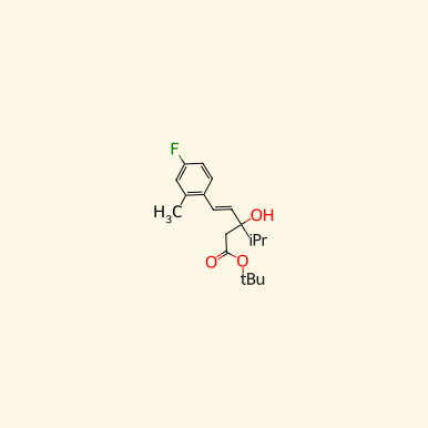 Cc1cc(F)ccc1C=CC(O)(CC(=O)OC(C)(C)C)C(C)C